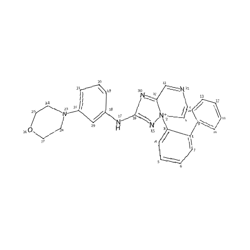 C1=C[N+]2(c3ccccc3-c3ccccc3)N=C(Nc3cccc(N4CCOCC4)c3)N=C2C=N1